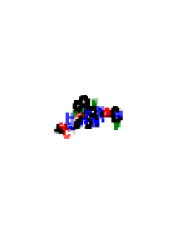 C[C@@H](/C=C/C(=O)N1CC[C@@H](N(C)c2nc(OC[C@@]34CCCN3C[C@H](F)C4)nc3c(F)c(-c4cccc5ccc(F)c(F)c45)ncc23)C1)NC(=O)OC(C)(C)C